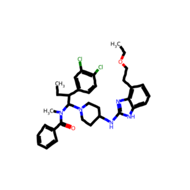 CCOCCc1cccc2[nH]c(NC3CCN(C(C(CC)c4ccc(Cl)c(Cl)c4)N(C)C(=O)c4ccccc4)CC3)nc12